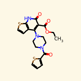 CCOC(=O)c1c(N2CCN(C(=O)c3cccs3)CC2)c2ccsc2[nH]c1=O